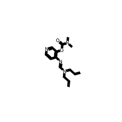 CCCN(/C=N/c1ccncc1OC(=O)N(C)C)CCC